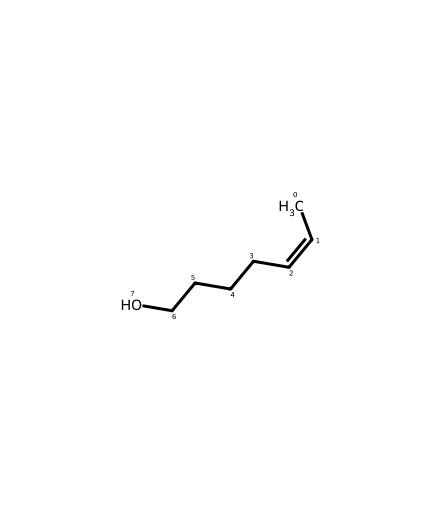 C/C=C\CCCCO